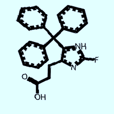 O=C(O)CCc1nc(F)[nH]c1C(c1ccccc1)(c1ccccc1)c1ccccc1